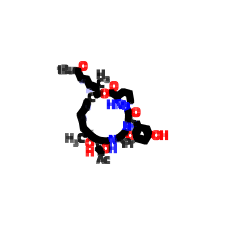 CC(=O)CC[C@H]1C(=O)N[C@@H](C(C)C)C(=O)N[C@@H](Cc2cccc(O)c2)C(=O)N2CCCC(N2)C(=O)O[C@H](/C(C)=C/C=C/C(=O)C(C)(C)C)C/C=C/C=C/C[C@H](C)[C@H]1O